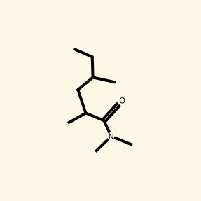 CCC(C)CC(C)C(=O)N(C)C